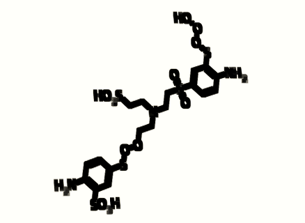 Nc1ccc(S(=O)(=O)CCN(CCOOSc2ccc(N)c(S(=O)(=O)O)c2)CCS(=O)(=O)O)cc1SOOO